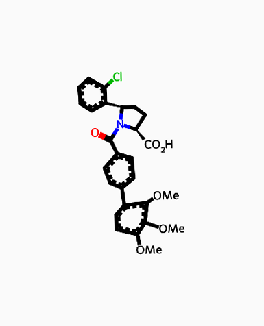 COc1ccc(-c2ccc(C(=O)N3[C@@H](c4ccccc4Cl)CC[C@H]3C(=O)O)cc2)c(OC)c1OC